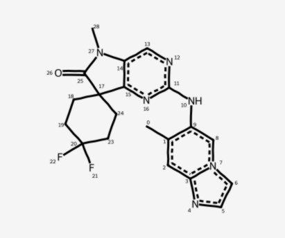 Cc1cc2nccn2cc1Nc1ncc2c(n1)C1(CCC(F)(F)CC1)C(=O)N2C